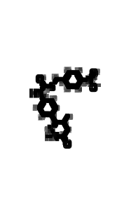 CC1CC(=O)NN=C1c1ccc(NC(=O)SCc2ccc([N+](=O)[O-])cc2)cc1